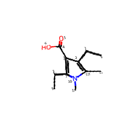 CCc1c(C(=O)O)c(CC)n(C)c1C